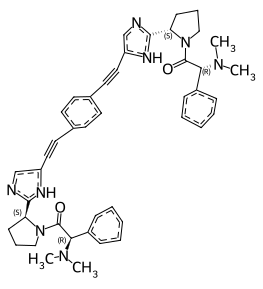 CN(C)[C@@H](C(=O)N1CCC[C@H]1c1ncc(C#Cc2ccc(C#Cc3cnc([C@@H]4CCCN4C(=O)[C@@H](c4ccccc4)N(C)C)[nH]3)cc2)[nH]1)c1ccccc1